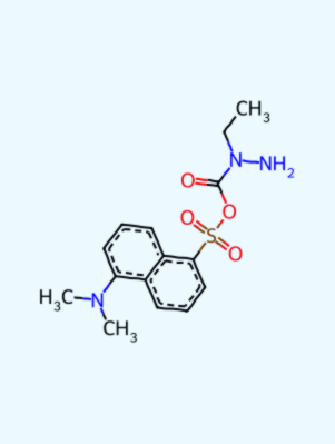 CCN(N)C(=O)OS(=O)(=O)c1cccc2c(N(C)C)cccc12